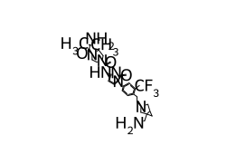 CC(C)(N)C(=O)N1CCN(C(=O)Nc2ccn(-c3ccc(CCN4CC5CC5(CN)C4)c(C(F)(F)F)c3)c(=O)n2)CC1